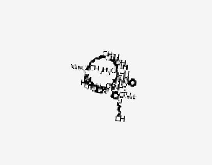 C#CCCCCO[C@@H]1CC[C@@H](C[C@@H](N)[C@@H]2C/C(=N/NC(=O)Nc3ccccc3)[C@H](C)/C=C(\C)[C@@H](O)[C@@H](O)C(=O)[C@H](C)C[C@H](C)/C=C/C=C/C=C(\C)[C@@H](OC)C[C@@H]3CC[C@@H](C)[C@@](O)(O3)C(=O)C(=O)N3CCCC[C@H]3C(=O)O2)C[C@H]1OC